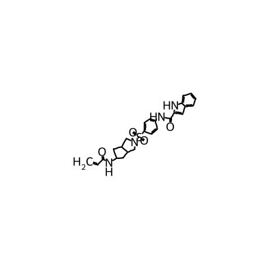 C=CC(=O)NC1CC2CN(S(=O)(=O)c3ccc(NC(=O)c4cc5ccccc5[nH]4)cc3)CC2C1